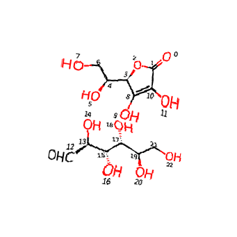 O=C1O[C@H]([C@@H](O)CO)C(O)=C1O.O=C[C@@H](O)[C@@H](O)[C@H](O)[C@H](O)CO